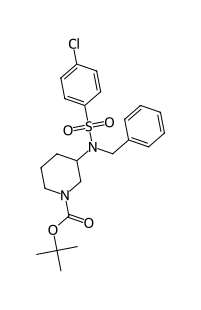 CC(C)(C)OC(=O)N1CCCC(N(Cc2ccccc2)S(=O)(=O)c2ccc(Cl)cc2)C1